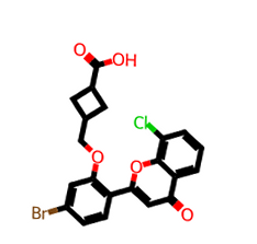 O=C(O)C1CC(COc2cc(Br)ccc2-c2cc(=O)c3cccc(Cl)c3o2)C1